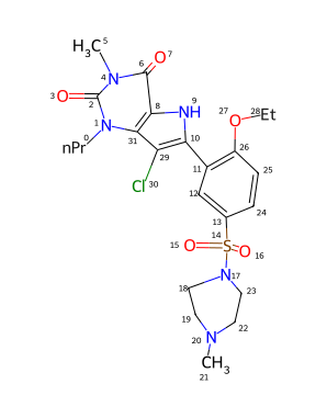 CCCn1c(=O)n(C)c(=O)c2[nH]c(-c3cc(S(=O)(=O)N4CCN(C)CC4)ccc3OCC)c(Cl)c21